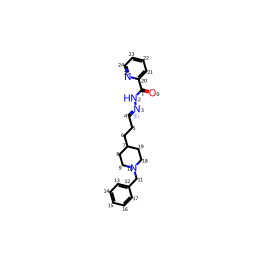 O=C(N/N=C/CCC1CCN(Cc2ccccc2)CC1)c1ccccn1